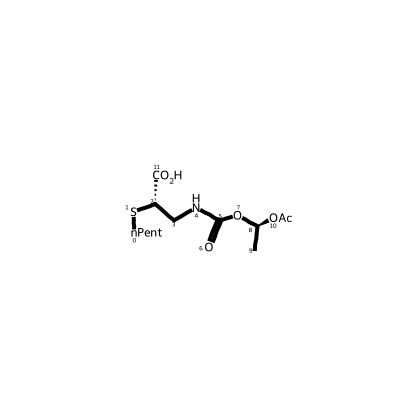 CCCCCS[C@@H](CNC(=O)O[C@H](C)OC(C)=O)C(=O)O